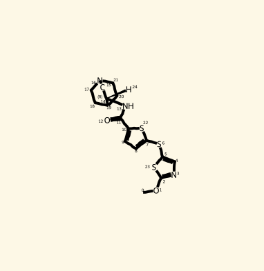 COc1ncc(Sc2ccc(C(=O)N[C@H]3CN4CCC3CC4)s2)s1